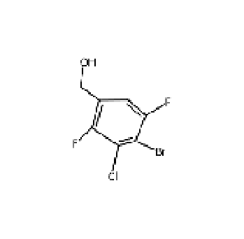 OCc1cc(F)c(Br)c(Cl)c1F